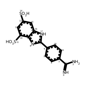 N=C(N)c1ccc(-c2nc3c(S(=O)(=O)O)cc(S(=O)(=O)O)cc3[nH]2)cc1